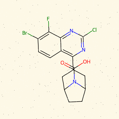 O=C(O)N1C2CCC1CC(c1nc(Cl)nc3c(F)c(Br)ccc13)C2